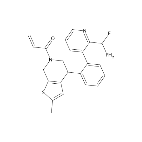 C=CC(=O)N1Cc2sc(C)cc2C(c2ccccc2-c2cccnc2C(F)P)C1